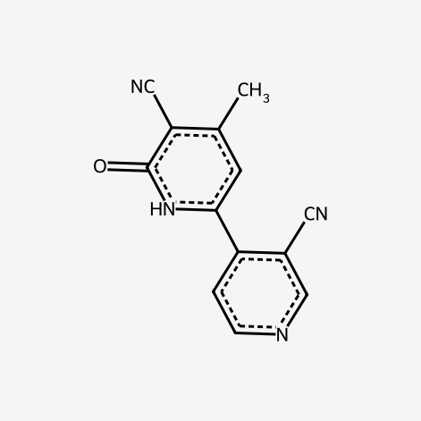 Cc1cc(-c2ccncc2C#N)[nH]c(=O)c1C#N